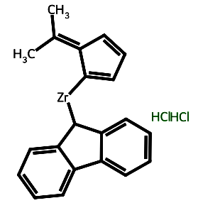 CC(C)=C1C=CC=[C]1[Zr][CH]1c2ccccc2-c2ccccc21.Cl.Cl